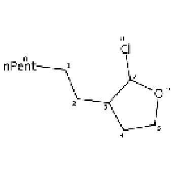 CCCCCCCC1CCOC1Cl